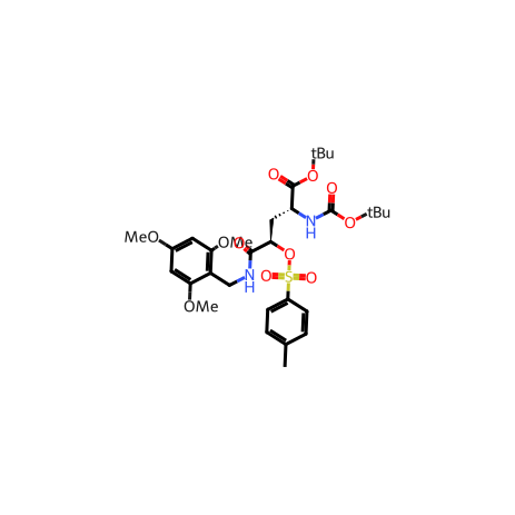 COc1cc(OC)c(CNC(=O)[C@@H](C[C@@H](NC(=O)OC(C)(C)C)C(=O)OC(C)(C)C)OS(=O)(=O)c2ccc(C)cc2)c(OC)c1